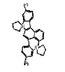 CC(C)c1ccc2c(c1)[Si]1(CCCC1)c1cc3c4c(cccc4c1-2)[Si]1(CCCC1)c1cc(C(C)C)ccc1-3